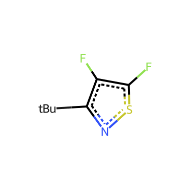 CC(C)(C)c1nsc(F)c1F